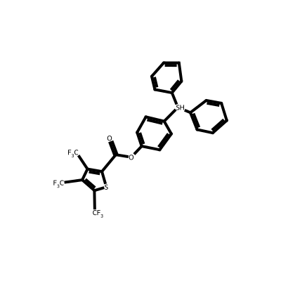 O=C(Oc1ccc([SH](c2ccccc2)c2ccccc2)cc1)c1sc(C(F)(F)F)c(C(F)(F)F)c1C(F)(F)F